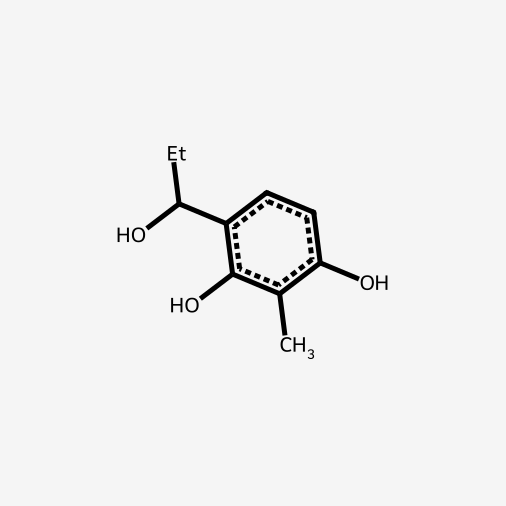 CCC(O)c1ccc(O)c(C)c1O